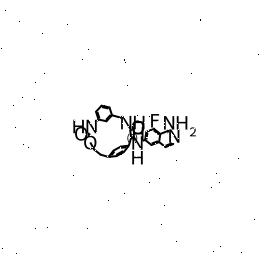 Nc1nccc2cc(N[C@H]3C(=O)NCc4cccc(c4)NC(=O)OCCc4ccc3cc4)cc(F)c12